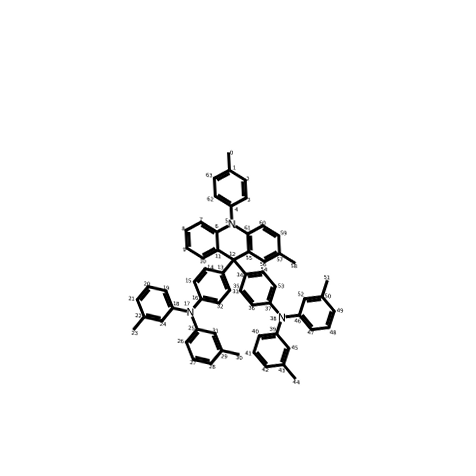 Cc1ccc(N2c3ccccc3C(c3ccc(N(c4cccc(C)c4)c4cccc(C)c4)cc3)(c3ccc(N(c4cccc(C)c4)c4cccc(C)c4)cc3)c3cc(C)ccc32)cc1